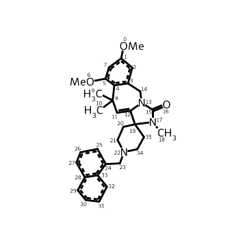 COc1cc2c(c(OC)c1)C(C)(C)C=C1N(C2)C(=O)N(C)C12CCN(Cc1cccc3ccccc13)CC2